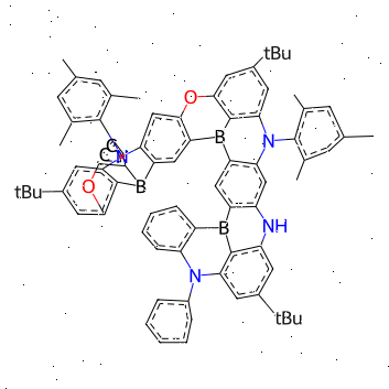 Cc1cc(C)c(N2c3cc4c(cc3B3c5cc6c(cc5Oc5cc(C(C)(C)C)cc2c53)N(c2c(C)cc(C)cc2C)c2cc(C(C)(C)C)cc3c2B6c2ccccc2O3)B2c3ccccc3N(c3ccccc3)c3cc(C(C)(C)C)cc(c32)N4)c(C)c1